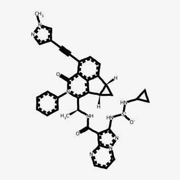 C[C@H](NC(=O)c1c(N[S+]([O-])NC2CC2)nn2cccnc12)c1c2c3c(ccc(C#Cc4cnn(C)c4)c3c(=O)n1-c1ccccc1)[C@@H]1C[C@H]21